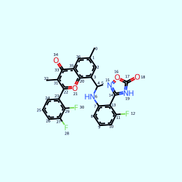 Cc1cc(C(C)Nc2cccc(F)c2-c2noc(=O)[nH]2)c2oc(-c3cccc(F)c3F)c(C)c(=O)c2c1